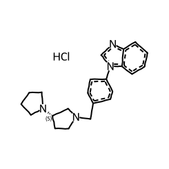 Cl.c1ccc2c(c1)ncn2-c1ccc(CN2CC[C@H](N3CCCC3)C2)cc1